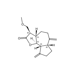 C=C1CC[C@H]2C(=C)CC[C@@H]3[C@H](OC(=O)[C@H]3COC)[C@@H]12